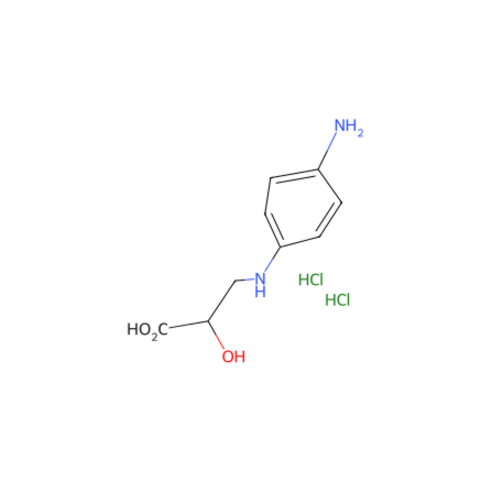 Cl.Cl.Nc1ccc(NCC(O)C(=O)O)cc1